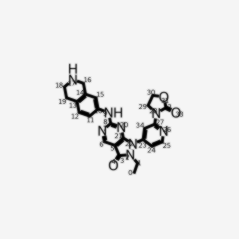 CCn1c(=O)c2cnc(Nc3ccc4c(c3)CNCC4)nc2n1-c1ccnc(N2CCOC2=O)c1